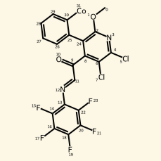 COc1nc(Cl)c(Cl)c(C(=O)C=Nc2c(F)c(F)c(F)c(F)c2F)c1-c1cccc[c]1[Co]